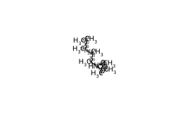 COc1cc(NCC=C(C)CCCC(C)CCCC(C)CCCC(C)C)cc(OC)c1OC